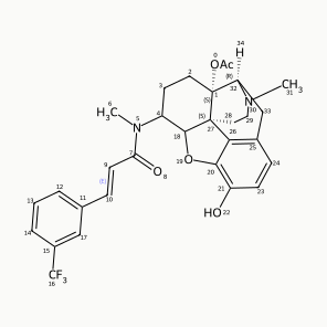 CC(=O)O[C@@]12CCC(N(C)C(=O)/C=C/c3cccc(C(F)(F)F)c3)C3Oc4c(O)ccc5c4[C@@]31CCN(C)[C@@H]2C5